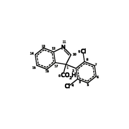 O=C(O)C1(c2c(Cl)cccc2Cl)C=Nc2ccccc21